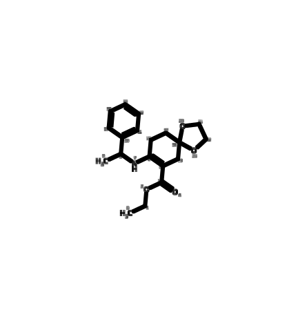 CCOC(=O)C1=C(NC(C)c2ccccc2)CCC2(C1)OCCO2